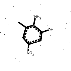 Nc1c(O)cc([N+](=O)[O-])cc1I